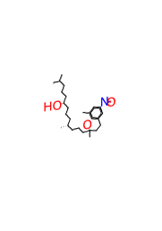 Cc1cc(N=O)cc2c1OC(C)(CCC[C@H](C)CCC[C@H](O)CCCC(C)C)CC2